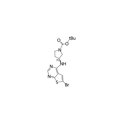 CC(C)(C)OC(=O)N1CC[C@H](Nc2ncnc3sc(Br)cc23)C1